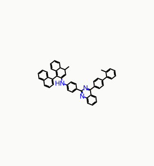 Cc1ccccc1-c1ccc(-c2nc(-c3ccc(NC4=CC(C)C5C=CC=CC5=C4c4cccc5ccccc45)cc3)nc3ccccc23)cc1